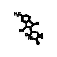 Cc1ccc2c(c1)C(S)N(C1CC3(CC3)C(=O)NC1=O)C2=O